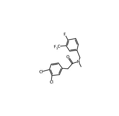 CN(Cc1ccc(F)c(C(F)(F)F)c1)C(=O)Cc1ccc(Cl)c(Cl)c1